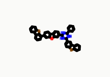 c1ccc(C2NC(c3ccc4c(c3)oc3cc(-c5cccc6c5sc5ccccc56)ccc34)NC(c3ccc4sc5ccccc5c4c3)N2)cc1